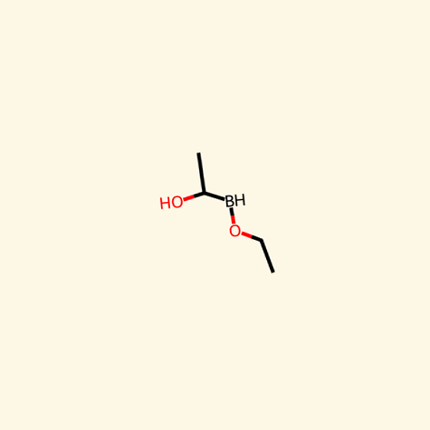 CCOBC(C)O